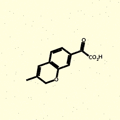 CC1=Cc2ccc(C(=O)C(=O)O)cc2OC1